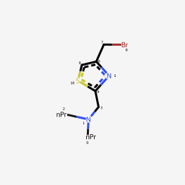 CCCN(CCC)Cc1nc(CBr)cs1